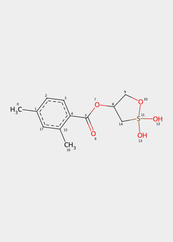 Cc1ccc(C(=O)OC2COS(O)(O)C2)c(C)c1